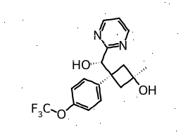 C[C@]1(O)C[C@@](c2ccc(OC(F)(F)F)cc2)([C@H](O)c2ncccn2)C1